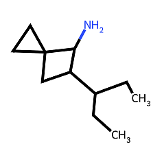 CCC(CC)C1CC2(CC2)C1N